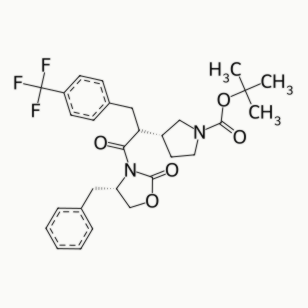 CC(C)(C)OC(=O)N1CC[C@H](C(Cc2ccc(C(F)(F)F)cc2)C(=O)N2C(=O)OC[C@@H]2Cc2ccccc2)C1